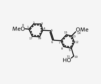 COc1ccc(/C=C/c2cc(CO)cc(OC)c2)cc1